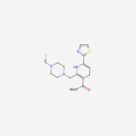 COC(=O)C1=C(CN2CCN(C=S)CC2)NC(c2nccs2)=CC1